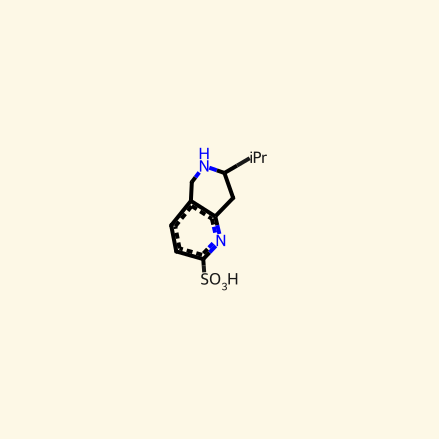 CC(C)C1Cc2nc(S(=O)(=O)O)ccc2CN1